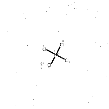 [Cl][Ni-]([Cl])([Cl])[Cl].[K+]